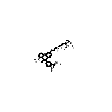 Bc1cccc(B)c1/C(CC)=C(\c1ccc(CCCNC/C=C/C(=C)N(C)C)cc1)c1ccc2[nH]nc(B)c2c1